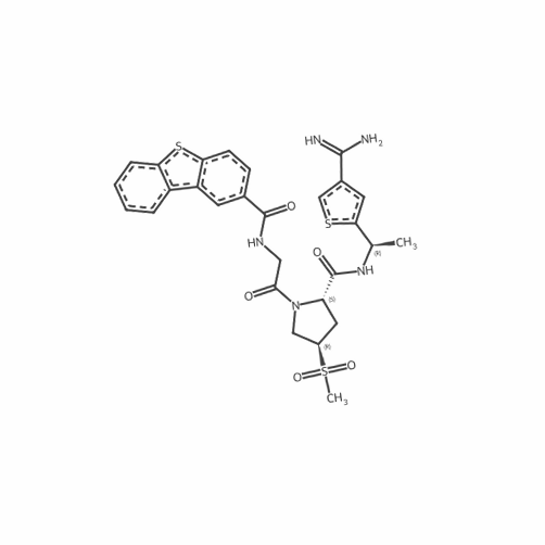 C[C@@H](NC(=O)[C@@H]1C[C@@H](S(C)(=O)=O)CN1C(=O)CNC(=O)c1ccc2sc3ccccc3c2c1)c1cc(C(=N)N)cs1